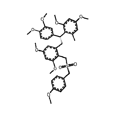 COc1ccc(CS(=O)(=O)Cc2c(C[C@H](c3ccc(OC)c(OC)c3)c3c(C)cc(OC)cc3OC)cc(OC)cc2OC)cc1